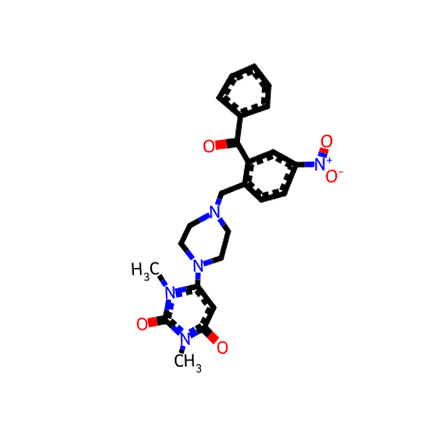 Cn1c(N2CCN(Cc3ccc([N+](=O)[O-])cc3C(=O)c3ccccc3)CC2)cc(=O)n(C)c1=O